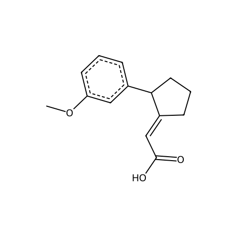 COc1cccc(C2CCCC2=CC(=O)O)c1